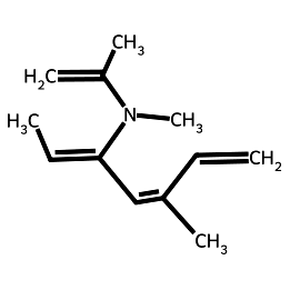 C=C/C(C)=C\C(=C\C)N(C)C(=C)C